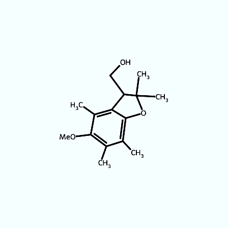 COc1c(C)c(C)c2c(c1C)C(CO)C(C)(C)O2